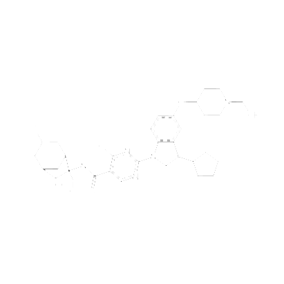 CC1CC2CC(C1)C(NC(=O)c1cnc(N3CC(C4CCCC4)c4cc(OC5CCN(CC(F)(F)F)CC5)ccc43)nc1C(F)(F)F)(C(=O)O)C2